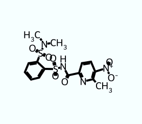 Cc1nc(C(=O)NS(=O)(=O)c2ccccc2S(=O)(=O)N(C)C)ccc1[N+](=O)[O-]